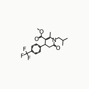 COC(=O)C1=C(C)N(CC(C)C)C(=O)CC1c1ccc(C(F)(F)F)cc1